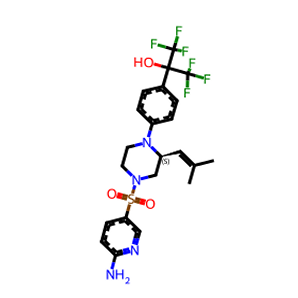 CC(C)=C[C@H]1CN(S(=O)(=O)c2ccc(N)nc2)CCN1c1ccc(C(O)(C(F)(F)F)C(F)(F)F)cc1